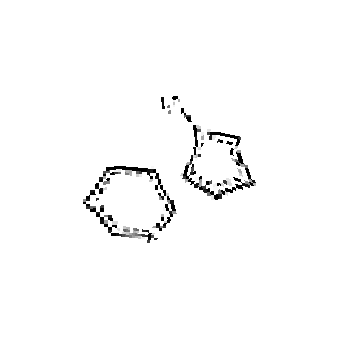 Pn1cccc1.c1ccncc1